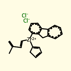 C=C(C)C=[CH][Zr+2]([C]1=CC=CC1)[c]1cccc2c1Cc1ccccc1-2.[Cl-].[Cl-]